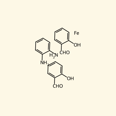 Nc1ccccc1N.O=Cc1ccccc1O.O=Cc1ccccc1O.[Fe]